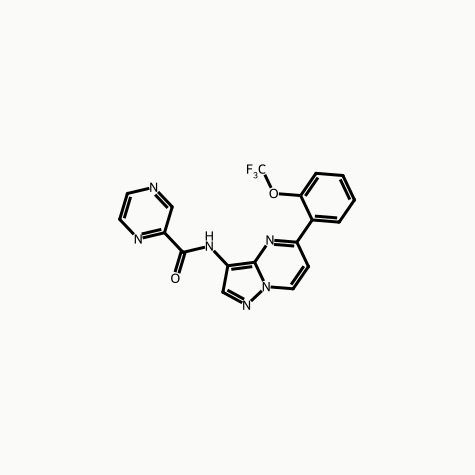 O=C(Nc1cnn2ccc(-c3ccccc3OC(F)(F)F)nc12)c1cnccn1